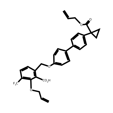 C=CCOC(=O)C1(c2ccc(-c3ccc(OCc4ccc(C(F)(F)F)c(OCC=C)c4C(=O)O)cc3)cc2)CC1